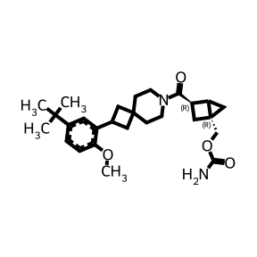 COc1ccc(C(C)(C)C)cc1C1CC2(CCN(C(=O)[C@@H]3C[C@]4(COC(N)=O)CC34)CC2)C1